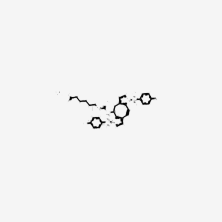 COC(=O)CCCCCNC(=O)OC1Cc2ccn(S(=O)(=O)c3ccc(C)cc3)c2C#Cc2ccn(S(=O)(=O)c3ccc(C)cc3)c21